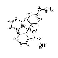 COC1=CC=C(C(OCCO)(c2ccccc2)c2ccccc2)CC1